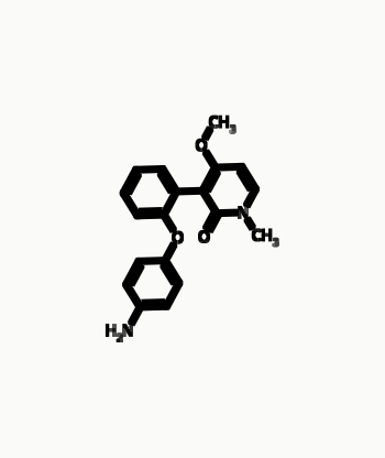 COc1ccn(C)c(=O)c1-c1ccccc1Oc1ccc(N)cc1